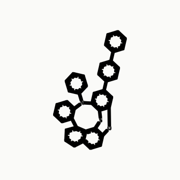 c1ccc(-c2ccc(-c3cc4c5c(c3)N(c3ccccc3)c3ccccc3-c3cccc6ccc(c(c36)S5)O4)cc2)cc1